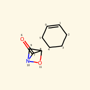 C1=CCCCC1.O=C1C2CN1O2